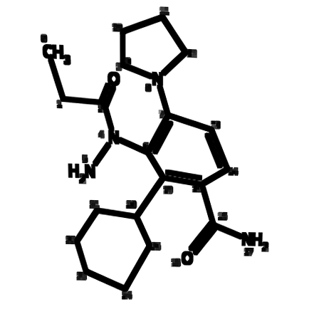 CCC(=O)N(N)c1c(N2CCCC2)ccc(C(N)=O)c1C1CCCCC1